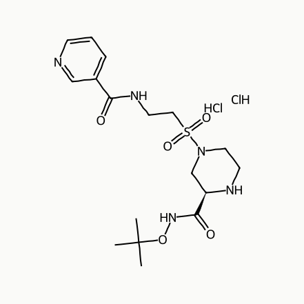 CC(C)(C)ONC(=O)[C@H]1CN(S(=O)(=O)CCNC(=O)c2cccnc2)CCN1.Cl.Cl